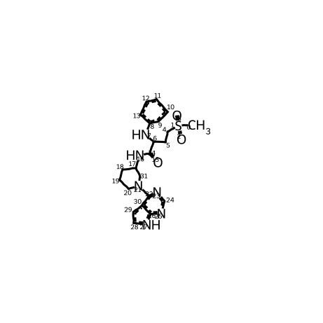 CS(=O)(=O)CCC(Nc1ccccc1)C(=O)NC1CCCN(c2ncnc3[nH]ccc23)C1